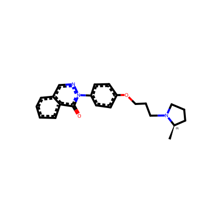 C[C@@H]1CCCN1CCCOc1ccc(-n2ncc3ccccc3c2=O)cc1